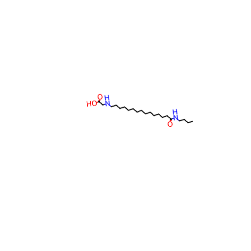 CCCCNC(=O)CCCCCCCCCCCCCCNCC(=O)O